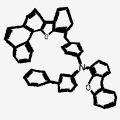 c1ccc(-c2cccc(N(c3ccc(-c4cccc5c4oc4c5ccc5ccc6ccccc6c54)cc3)c3cccc4c3oc3ccccc34)c2)cc1